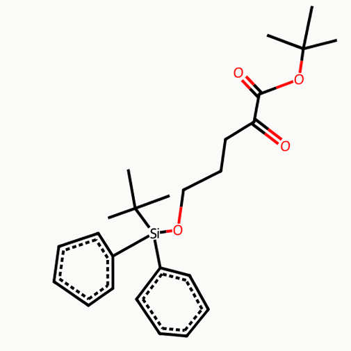 CC(C)(C)OC(=O)C(=O)CCCO[Si](c1ccccc1)(c1ccccc1)C(C)(C)C